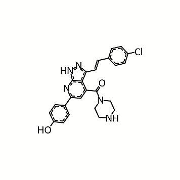 O=C(c1cc(-c2ccc(O)cc2)nc2[nH]nc(C=Cc3ccc(Cl)cc3)c12)N1CCNCC1